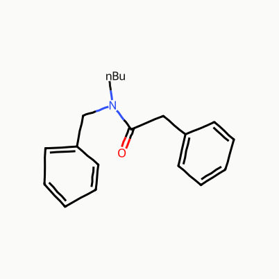 CCCCN(Cc1ccccc1)C(=O)Cc1ccccc1